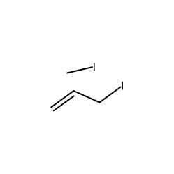 C=CCI.CI